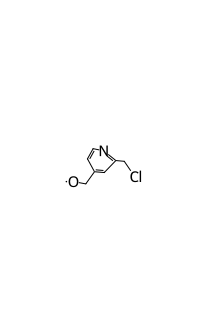 [O]Cc1ccnc(CCl)c1